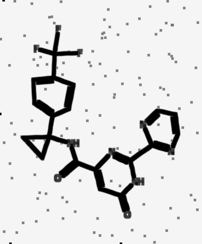 O=C(NC1(c2ccc(C(F)(F)F)cc2)CC1)c1cc(=O)[nH]c(-c2ncccn2)n1